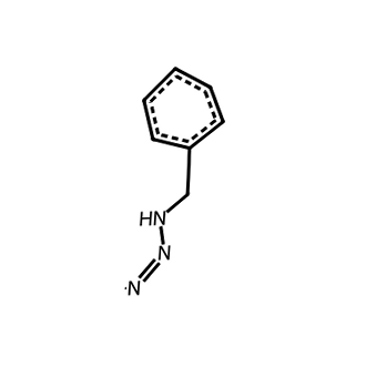 [N]=NNCc1ccccc1